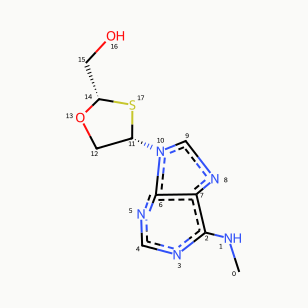 CNc1ncnc2c1ncn2[C@@H]1CO[C@H](CO)S1